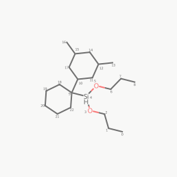 CCCO[SiH](OCCC)C1(C2CC(C)CC(C)C2)CCCCC1